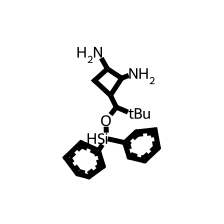 CC(C)(C)C(O[SiH](c1ccccc1)c1ccccc1)C1CC(N)C1N